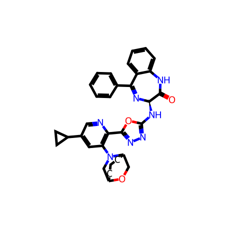 O=C1Nc2ccccc2C(c2ccccc2)=N[C@@H]1Nc1nnc(-c2ncc(C3CC3)cc2N2CC3CCCC2CO3)o1